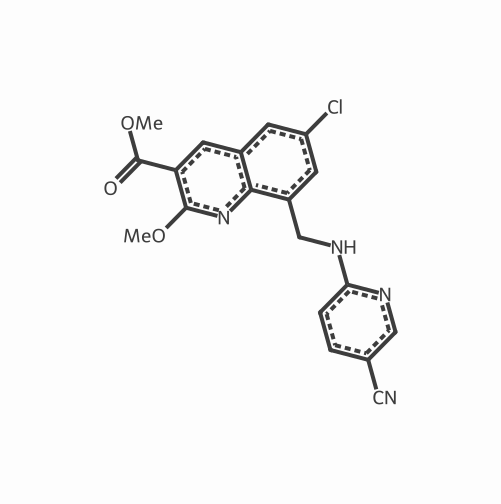 COC(=O)c1cc2cc(Cl)cc(CNc3ccc(C#N)cn3)c2nc1OC